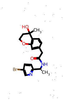 C[C@@H](NC(=O)Cc1ccc2c(c1)OCCC2(C)O)c1ccc(Br)cn1